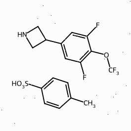 Cc1ccc(S(=O)(=O)O)cc1.Fc1cc(C2CNC2)cc(F)c1OC(F)(F)F